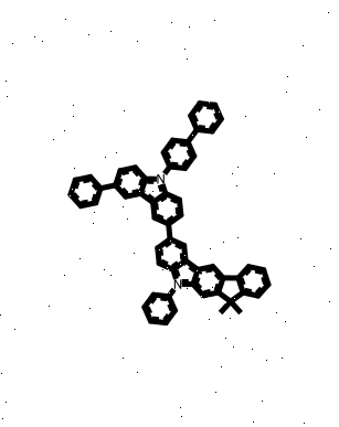 CC1(C)c2ccccc2-c2cc3c4cc(-c5ccc6c(c5)c5cc(-c7ccccc7)ccc5n6-c5ccc(-c6ccccc6)cc5)ccc4n(-c4ccccc4)c3cc21